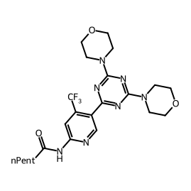 CCCCCC(=O)Nc1cc(C(F)(F)F)c(-c2nc(N3CCOCC3)nc(N3CCOCC3)n2)cn1